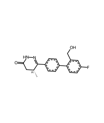 C[C@@H]1CC(=O)NN=C1c1ccc(-c2ccc(F)cc2CO)cc1